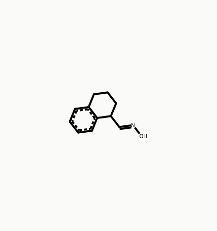 ON=CC1CCCc2ccccc21